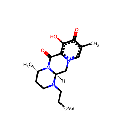 COCCN1CC[C@H](C)N2C(=O)c3c(O)c(=O)c(C)cn3C[C@@H]12